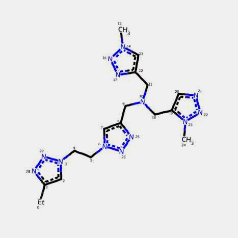 CCc1cn(CCn2cc(CN(Cc3cn(C)nn3)Cc3cnnn3C)nn2)nn1